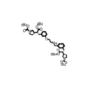 CC(C)(C)OC(=O)[C@H](Cc1cccc(CNCCOc2cccc(C[C@@H](C(=O)OC(C)(C)C)[C@H]3CCN(C(=O)OC(C)(C)C)C3)c2)c1)[C@H]1CCN(C(=O)OC(C)(C)C)C1